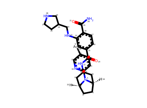 CC(=O)c1ccc(N2[C@@H]3CC[C@H]2C[C@@H](NC(=O)c2ccc(C(N)=O)c(NCC4CCNC4)c2)C3)nc1